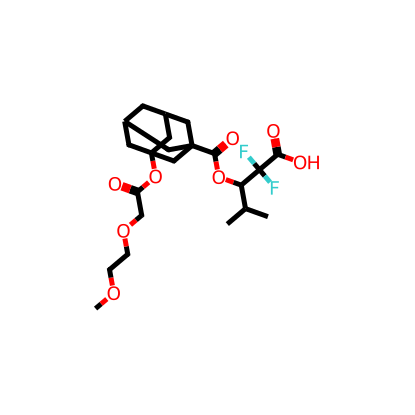 COCCOCC(=O)OC12CC3CC(C1)CC(C(=O)OC(C(C)C)C(F)(F)C(=O)O)(C3)C2